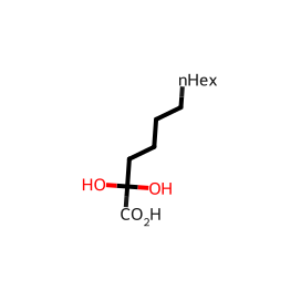 CCCCCCCCCCC(O)(O)C(=O)O